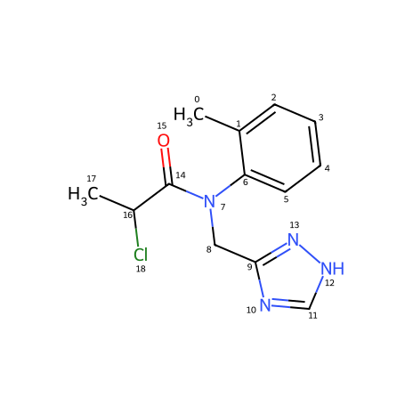 Cc1ccccc1N(Cc1nc[nH]n1)C(=O)C(C)Cl